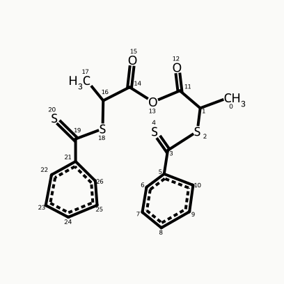 CC(SC(=S)c1ccccc1)C(=O)OC(=O)C(C)SC(=S)c1ccccc1